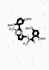 COc1ccc(OC)c(C(=S)N(C)Oc2ccc(ON(C)C(=S)c3cc(OC)ccc3OC)[nH]2)c1